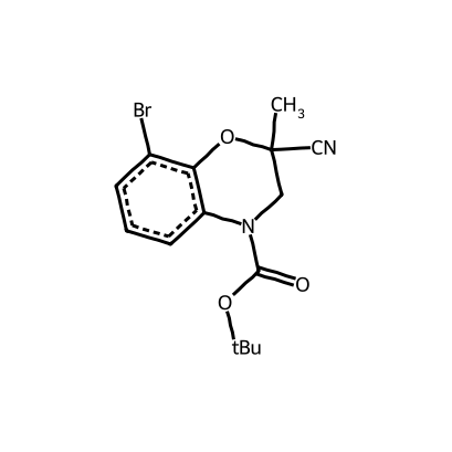 CC(C)(C)OC(=O)N1CC(C)(C#N)Oc2c(Br)cccc21